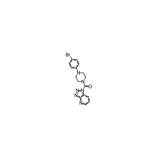 O=C(N1CCN(c2ccc(Br)cc2)CC1)n1nnc2ncccc21